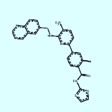 Nc1ccc(-c2ccc(C(=O)Nc3nccs3)c(F)c2)nc1NCc1ccc2ncccc2c1